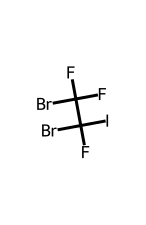 FC(F)(Br)C(F)(Br)I